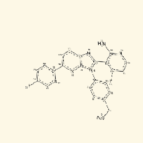 CC(=O)OCc1ccc(-n2c(-c3c(F)ccnc3N)nc3ccc(-c4ccc(F)cn4)nc32)cc1